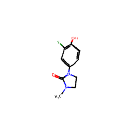 CN1CCN(c2ccc(O)c(F)c2)C1=O